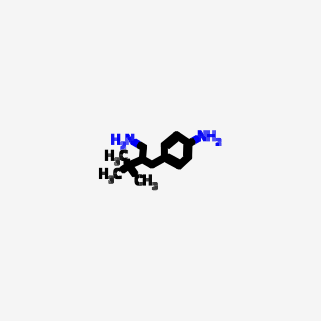 CC(C)(C)C(CN)Cc1ccc(N)cc1